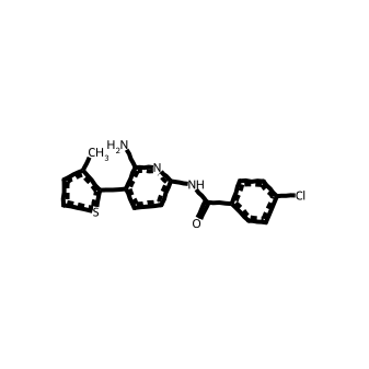 Cc1ccsc1-c1ccc(NC(=O)c2ccc(Cl)cc2)nc1N